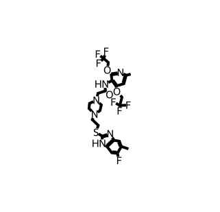 Cc1cc(OCC(F)(F)F)c(NC(=O)CN2CCN(CCSc3nc4cc(C)c(F)cc4[nH]3)CC2)c(OCC(F)(F)F)n1